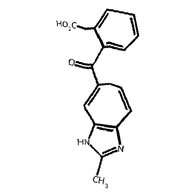 Cc1nc2ccc(C(=O)c3ccccc3C(=O)O)cc2[nH]1